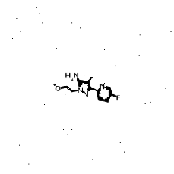 COCCn1nc(-c2ccc(F)cn2)c(C)c1N